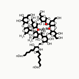 CCCCCCCCCCCCC/C=C/[C@@H](O)[C@H](CO[C@@H]1OC(CO)[C@@H](O[C@@H]2OC(CO)[C@H](O)[C@H](O[C@@H]3OC(CO)[C@@H](O[C@@H]4OC(CO)[C@H](O)[C@H](O[C@@H]5OC(CO)[C@@H](O[C@@H]6OC(CO)[C@H](O)[C@H](O)C6O[C@H]6OC(C)[C@@H](O)C(O)[C@@H]6O)[C@H](O[C@H]6OC(C)[C@@H](O)C(O)[C@@H]6O)C5NC(C)=O)C4O)[C@H](O)C3NC(C)=O)C2O)[C@H](O)C1O)NC(=O)CCCCCCCCCCCCCCC